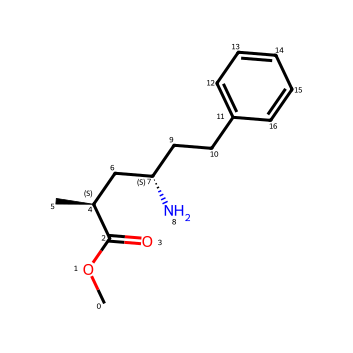 COC(=O)[C@@H](C)C[C@@H](N)CCc1ccccc1